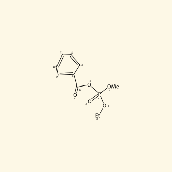 CCOP(=O)(OC)OC(=O)c1ccccc1